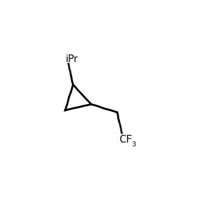 CC(C)C1CC1CC(F)(F)F